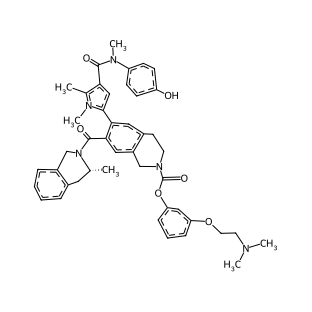 Cc1c(C(=O)N(C)c2ccc(O)cc2)cc(-c2cc3c(cc2C(=O)N2Cc4ccccc4C[C@H]2C)CN(C(=O)Oc2cccc(OCCN(C)C)c2)CC3)n1C